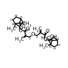 C=C(COCC(=C)C(=O)OC1CC2CCC1(C)C2(C)C)C(=O)OC1CC2CCC1(C)C2(C)C